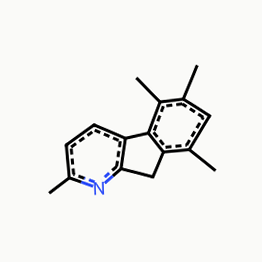 Cc1ccc2c(n1)Cc1c(C)cc(C)c(C)c1-2